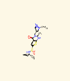 C=C1Nc2sc([S+]([O-])NC3(C#N)CC3)cc2C(=O)N1Cc1cnn(C)c1